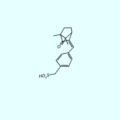 CC12CCC(C(=Cc3ccc(CS(=O)(=O)O)cc3)C1=O)C2(C)C